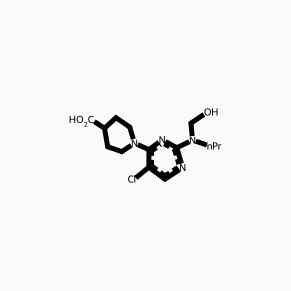 CCCN(CO)c1ncc(Cl)c(N2CCC(C(=O)O)CC2)n1